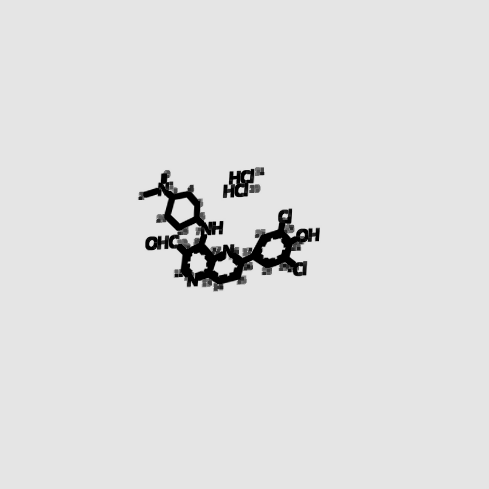 CN(C)C1CCC(Nc2c(C=O)cnc3ccc(-c4cc(Cl)c(O)c(Cl)c4)nc23)CC1.Cl.Cl